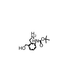 CC(C)(C)OC(=O)Nc1cccc(CO)c1CN